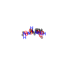 CC(C)(C)[Si](C)(C)O[C@@H](CNCCCCCNS(=O)(=O)CCN1CCC(OC(=O)Nc2ccccc2-c2ccccc2)CC1)c1ccc(OCc2ccccc2)c2[nH]c(=O)ccc12